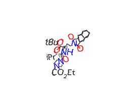 CCOC(=O)CN1CCN(C(=O)[C@H](CC(C)C)N[C@H](CCN2C(=O)c3cc4ccccc4cc3C2=O)C(=O)OC(C)(C)C)CC1